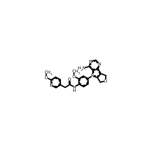 COc1ccc(CC(=O)Nc2ccc(-n3c4c(c5ncnc(N)c53)COC4)cc2OC)cn1